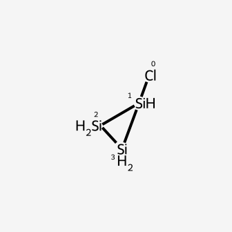 Cl[SiH]1[SiH2][SiH2]1